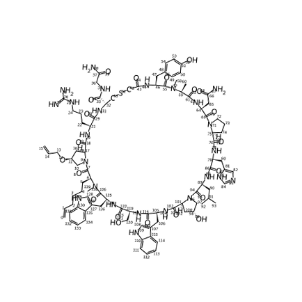 C=CCCCC[C@H]1C(=O)N2C[C@@H](OCC=C)C[C@H]2C(=O)N[C@@H](CCCNC(=N)N)C(=O)N[C@H](C(=O)NCC(N)=O)CSCC(=O)N[C@@H](Cc2ccc(O)cc2)C(=O)N(C)[C@@H](C)C(=O)N[C@@H](CC(N)=O)C(=O)N2CCC[C@H]2C(=O)N[C@@H](Cc2cnc[nH]2)C(=O)N[C@@H](CC(C)C)C(=O)N2C[C@H](O)C[C@H]2C(=O)N[C@@H](Cc2c[nH]c3ccccc23)C(=O)N[C@@H](CO)C(=O)N[C@@H](Cc2c[nH]c3ccccc23)C(=O)N1C